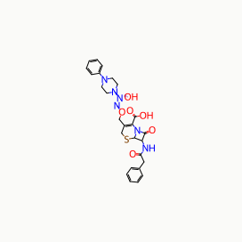 O=C(Cc1ccccc1)NC1C(=O)N2C(C(=O)O)=C(CO/N=[N+](\O)N3CCN(c4ccccc4)CC3)CSC12